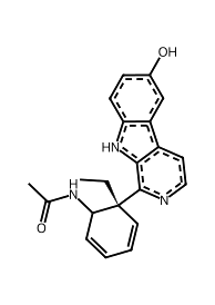 CC[C@@]1(c2nccc3c2[nH]c2ccc(O)cc23)C=CC=CC1NC(C)=O